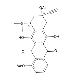 C#C[C@@]1(OC(C)=O)Cc2c(O)c3c(c(O)c2[C@H]([Si](C)(C)C)C1)C(=O)c1c(OC)cccc1C3=O